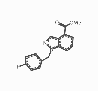 COC(=O)c1cccc2c1cnn2Cc1ccc(F)cc1